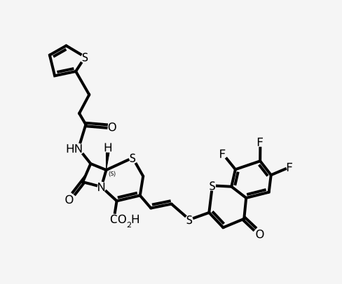 O=C(CCc1cccs1)NC1C(=O)N2C(C(=O)O)=C(C=CSc3cc(=O)c4cc(F)c(F)c(F)c4s3)CS[C@@H]12